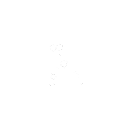 CCc1c(F)ccc2cc(O)cc(N3CCc4c(nc(OC[C@@]56CCCN5[C@H](COC)CC6)nc4N4CCCn5nc(C(=O)N(C)C)cc5C4)C3)c12